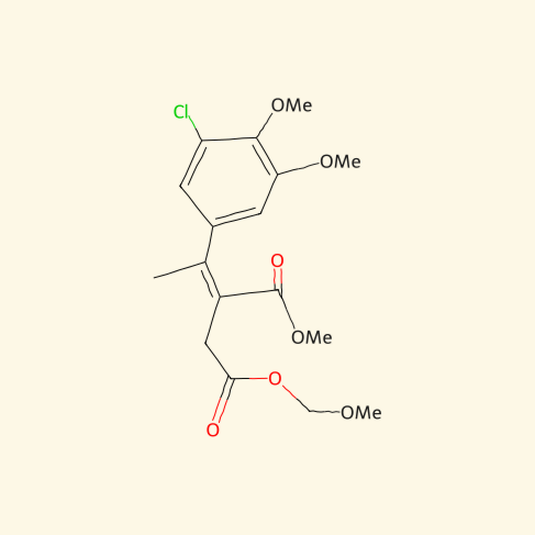 COCOC(=O)CC(C(=O)OC)=C(C)c1cc(Cl)c(OC)c(OC)c1